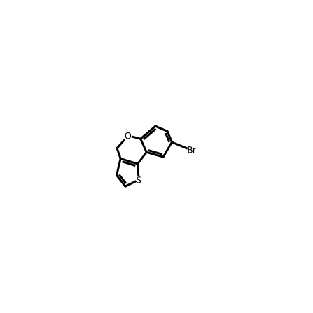 Brc1ccc2c(c1)-c1sccc1CO2